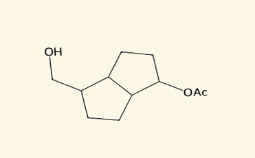 CC(=O)OC1CCC2C(CO)CCC12